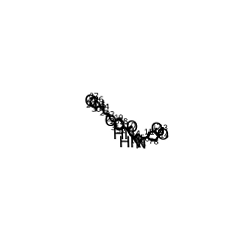 O=C(Nc1cc(-c2ccc3c(c2)OCO3)n[nH]1)c1ccc(OCCCN2CCOCC2)cc1